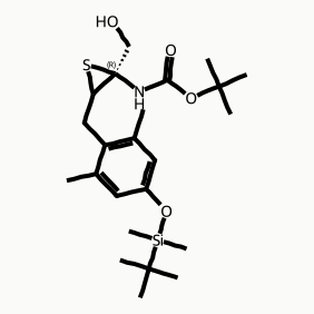 Cc1cc(O[Si](C)(C)C(C)(C)C)cc(C)c1CC1S[C@@]1(CO)NC(=O)OC(C)(C)C